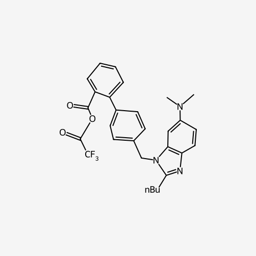 CCCCc1nc2ccc(N(C)C)cc2n1Cc1ccc(-c2ccccc2C(=O)OC(=O)C(F)(F)F)cc1